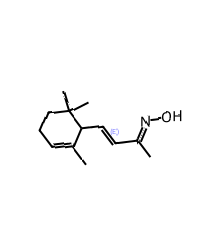 CC1=CCCC(C)(C)C1/C=C/C(C)=NO